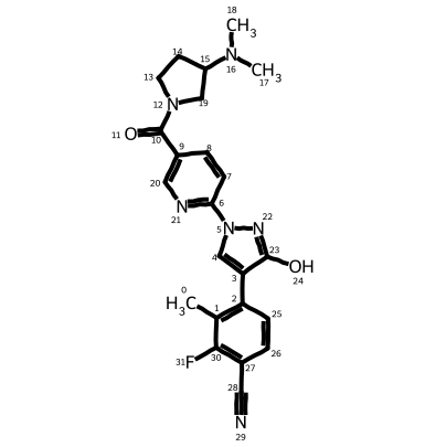 Cc1c(-c2cn(-c3ccc(C(=O)N4CCC(N(C)C)C4)cn3)nc2O)ccc(C#N)c1F